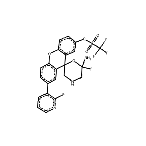 NC1(F)CNCC2(O1)c1cc(OS(=O)(=O)C(F)(F)F)ccc1Oc1ccc(-c3cccnc3F)cc12